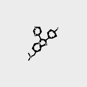 CN(C)Cc1ccn2c(-c3ccncn3)c(-c3ccc(F)cc3)nc2c1